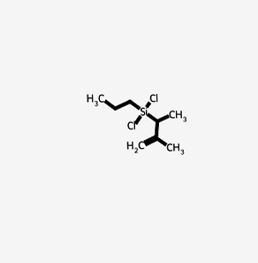 C=C(C)C(C)[Si](Cl)(Cl)CCC